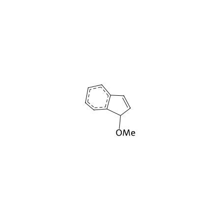 [CH2]OC1C=Cc2ccccc21